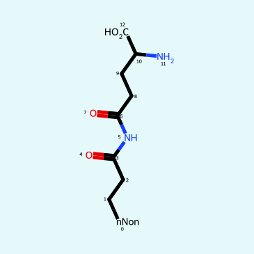 CCCCCCCCCCCC(=O)NC(=O)CCC(N)C(=O)O